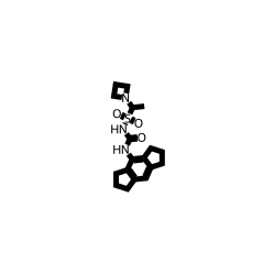 CC(N1CCC1)S(=O)(=O)NC(=O)Nc1c2c(cc3c1CCC3)CCC2